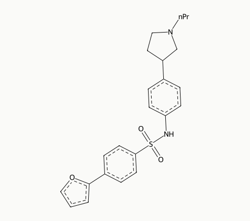 CCCN1CCC(c2ccc(NS(=O)(=O)c3ccc(-c4ccco4)cc3)cc2)C1